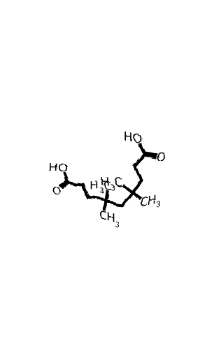 CC(C)(CCC(=O)O)CC(C)(C)CCC(=O)O